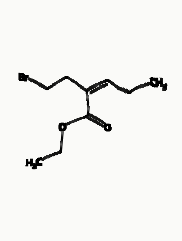 CCC=C(CCBr)C(=O)OCC